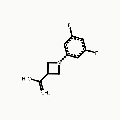 C=C(C)C1CN(c2cc(F)cc(F)c2)C1